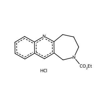 CCOC(=O)N1CCCc2nc3ccccc3cc2C1.Cl